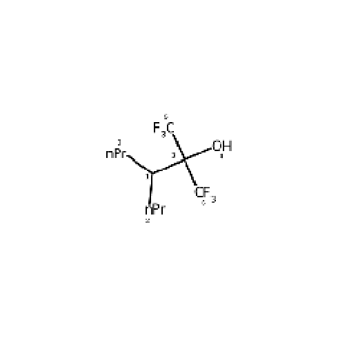 CCCC(CCC)C(O)(C(F)(F)F)C(F)(F)F